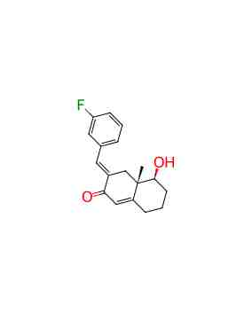 C[C@]12CC(=Cc3cccc(F)c3)C(=O)C=C1CCC[C@@H]2O